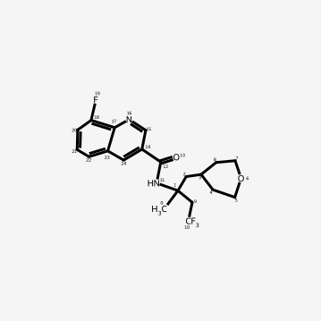 CC(CC1CCOCC1)(CC(F)(F)F)NC(=O)c1cnc2c(F)cccc2c1